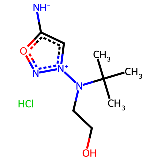 CC(C)(C)N(CCO)[n+]1cc([NH-])on1.Cl